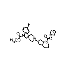 COC(=O)N1CC2(CCN(C3CC4CCCN(C(=O)O[C@H]5CCOC5)C4C3)CC2)c2cc(F)ccc21